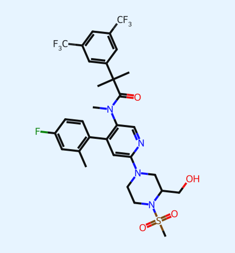 Cc1cc(F)ccc1-c1cc(N2CCN(S(C)(=O)=O)C(CO)C2)ncc1N(C)C(=O)C(C)(C)c1cc(C(F)(F)F)cc(C(F)(F)F)c1